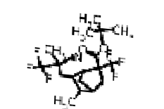 CC1C2CC(C1CC(C)(C#N)C(F)(F)F)C(C(=O)OC(C)(C)C)(C(F)(F)F)C2